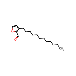 CCCCCCCCCCCCc1ccoc1C=O